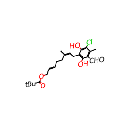 CC(=CCc1c(O)c(Cl)c(C)c(C=O)c1O)CCC=CCOC(=O)C(C)(C)C